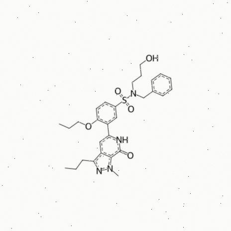 CCCOc1ccc(S(=O)(=O)N(CCCO)Cc2ccccc2)cc1-c1cc2c(CCC)nn(C)c2c(=O)[nH]1